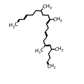 C=CC=CCCC(C)CCC(C)=CCC=CCC(C)=CC(C)CCC=C